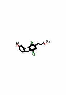 CCOCCCc1cc(Cl)c(Cc2ccc(OCC)cc2)cc1Br